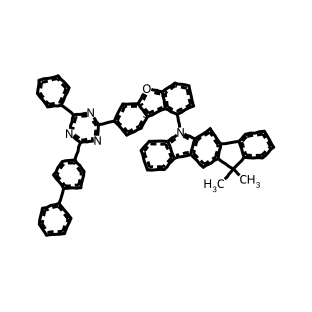 CC1(C)c2ccccc2-c2cc3c(cc21)c1ccccc1n3-c1cccc2oc3cc(-c4nc(-c5ccccc5)nc(-c5ccc(-c6ccccc6)cc5)n4)ccc3c12